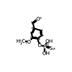 COc1cc(C=O)ccc1OP(O)(O)=S